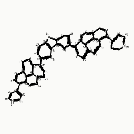 c1cc(-c2ccc3ccc4c(-c5ccc6sc7ccc(-c8ccc9ccc%10c(-c%11ccncc%11)ccc%11ccc8c9c%11%10)cc7c6c5)ccc5ccc2c3c54)ccn1